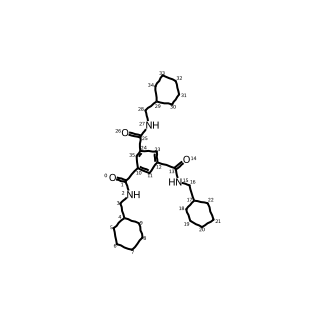 O=C(NCC1CCCCC1)c1cc(C(=O)NCC2CCCCC2)cc(C(=O)NCC2CCCCC2)c1